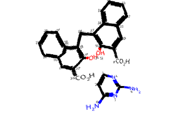 Nc1ccnc(N)n1.O=C(O)c1cc2ccccc2c(Cc2c(O)c(C(=O)O)cc3ccccc23)c1O